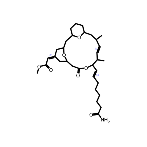 COC(=O)/C=C1\CC2CC(=O)OC(/C=C/CCCCCC(N)=O)C(C)/C=C/C(C)CC3CCCC(CC(C1)O2)O3